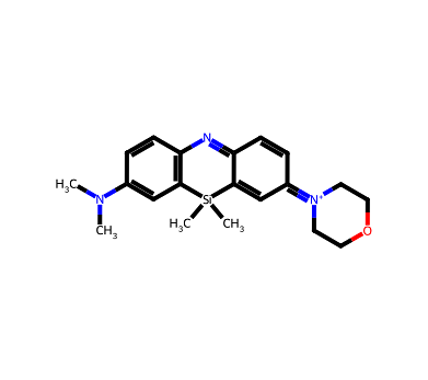 CN(C)c1ccc2c(c1)[Si](C)(C)C1=CC(=[N+]3CCOCC3)C=CC1=N2